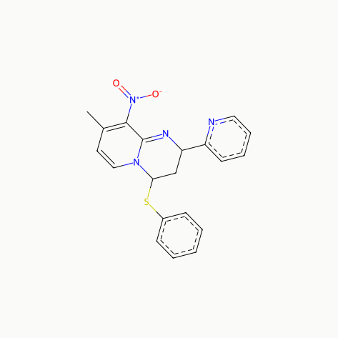 CC1=C([N+](=O)[O-])C2=NC(c3ccccn3)CC(Sc3ccccc3)N2C=C1